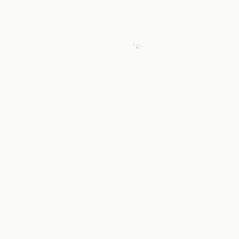 [CH](CCC1CCCCC1)C1CCNCC1